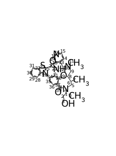 C[C@H](CO)N1C[C@H](C)C(CN(C)Cc2ccncc2)Oc2c(NC(=O)c3nc4ccccc4s3)cccc2C1=O